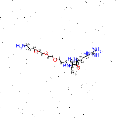 CC(C)(NCCCOCCOCCOCCCN)C(=O)C(N)CCCNC(=N)N